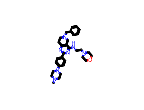 CN1CCN(c2ccc(-c3nc4c(c(NCCN5CCOCC5)n3)CN(Cc3ccccc3)CC4)cc2)CC1